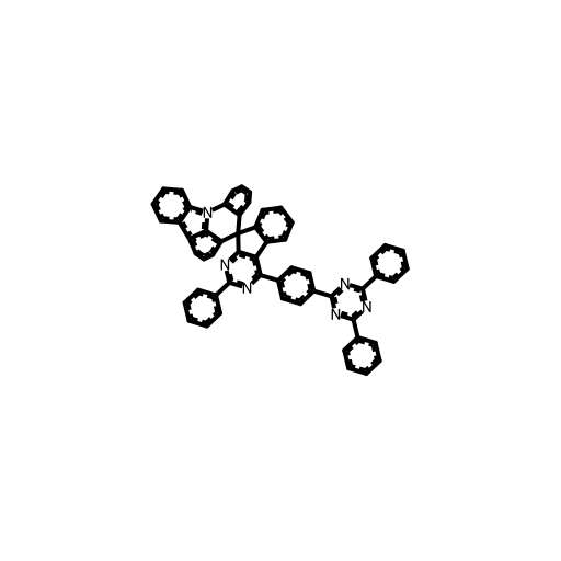 c1ccc(-c2nc(-c3ccccc3)nc(-c3ccc(-c4nc(-c5ccccc5)nc5c4-c4ccccc4C54c5ccccc5-n5c6ccccc6c6cccc4c65)cc3)n2)cc1